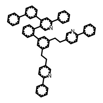 c1ccc(-c2cccc(-c3cc(-c4ccccc4)ncc3-c3ccccc3-c3cc(CCc4ccc(-c5ccccc5)nc4)cc(CCc4ccc(-c5ccccc5)nc4)c3)c2)cc1